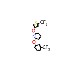 FC(F)(F)c1cccc(Oc2cccc(Oc3csc(C(F)(F)F)c3)n2)c1